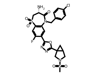 CS(=O)(=O)N1CC2CC2(c2nnc(-c3cc4c(cc3F)S(=O)(=O)C[C@H](N)C(=O)N4Cc3ccc(Cl)cc3)o2)C1